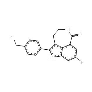 CC(C)Cc1ccc(-c2[nH]c3cc(F)cc4c3c2CCNC4=O)cc1